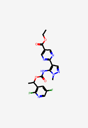 CCOC(=O)c1cnc(-c2cnn(C)c2NC(=O)OC(C)c2cc(F)cnc2F)nc1